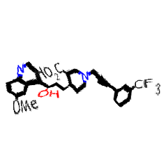 COc1ccc2nccc([C@@H](O)CC[C@@H]3CCN(CC#Cc4cccc(C(F)(F)F)c4)C[C@@H]3C(=O)O)c2c1